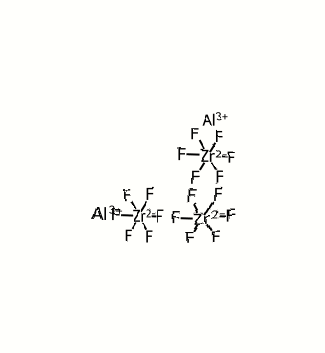 [Al+3].[Al+3].[F][Zr-2]([F])([F])([F])([F])[F].[F][Zr-2]([F])([F])([F])([F])[F].[F][Zr-2]([F])([F])([F])([F])[F]